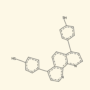 Sc1ccc(-c2ccnc3c2ccc2c(-c4ccc(S)cc4)ccnc23)cc1